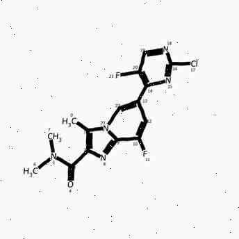 Cc1c(C(=O)N(C)C)nc2c(F)cc(-c3nc(Cl)ncc3F)cn12